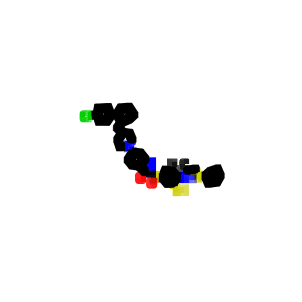 CC(CSc1ccccc1)Nc1ccc([S+]([O-])NC(=O)c2ccc(N3CCC(Cc4ccccc4-c4ccc(Cl)cc4)CC3)cc2)cc1S